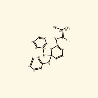 F/C(OC1=CC=CC(Oc2ccccc2)(Oc2ccccc2)C1)=C(/F)C(F)(F)F